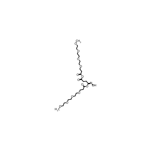 COCCOCCOCCOCCC(=O)OC(=O)CC/C(=N/O)OC(=O)CCOCCOCCOCCOC